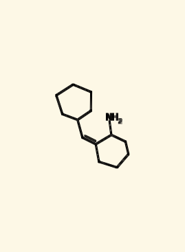 NC1CCCCC1=CC1CCCCC1